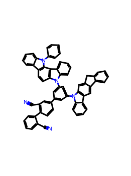 N#Cc1ccccc1-c1ccc(-c2cc(-n3c4ccccc4c4cc5c(cc43)Cc3ccccc3-5)cc(-n3c4ccccc4c4c3ccc3c5ccccc5n(-c5ccccc5)c34)c2)cc1C#N